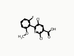 COc1cccc(F)c1-c1nc(Cl)c(C(=O)O)cc1Cl